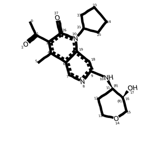 CC(=O)c1c(C)c2cnc(N[C@@H]3CCOC[C@@H]3O)cc2n(C2CCCC2)c1=O